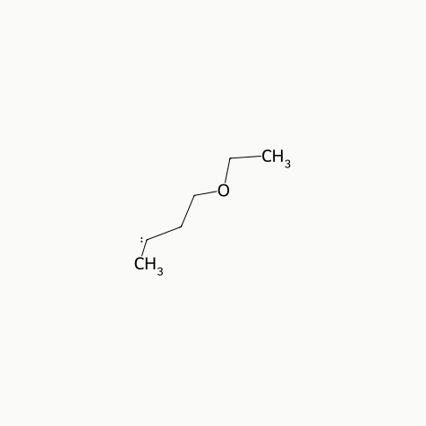 C[C]CCOCC